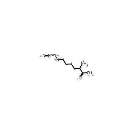 CC(=O)C(N)CCCCNN=[N+]=[N-]